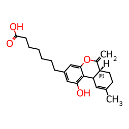 C=C1Oc2cc(CCCCCCC(=O)O)cc(O)c2C2C=C(C)CC[C@@H]12